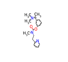 C[C@@H](c1cccc(OC(=O)N(C)CCc2ccccn2)c1)N(C)C